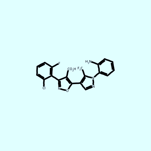 Nc1ccccc1-n1ncc(-c2onc(-c3c(F)cccc3Cl)c2C(=O)O)c1C(F)(F)F